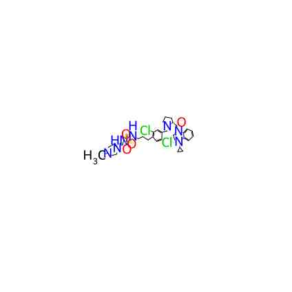 CN1CCN(C(=O)NS(=O)(=O)NCCCc2cc(Cl)c(CN3CCC[C@H]3C(=O)N3CCN(C4CC4)c4ccccc43)cc2Cl)CC1